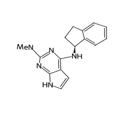 CNc1nc(N[C@H]2CCc3ccccc32)c2cc[nH]c2n1